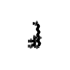 CCCCCOC(CC)[N+](C)(O)CC